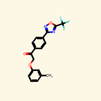 Cc1cccc(OCC(=O)c2ccc(-c3noc(C(F)(F)F)n3)cc2)c1